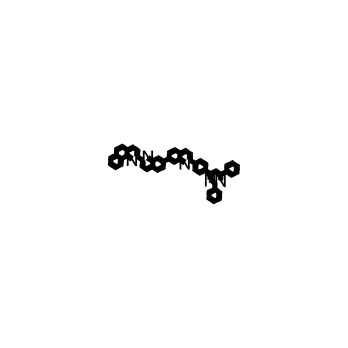 c1ccc(-c2cc(-c3ccc(-c4ccc5ccc(-c6ccc7ccc(-c8ccc9ccc%10ccccc%10c9n8)nc7c6)cc5n4)cc3)nc(-c3ccccc3)n2)cc1